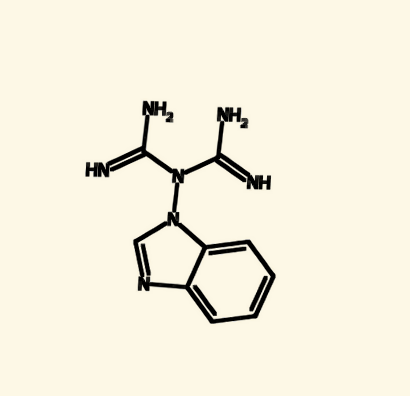 N=C(N)N(C(=N)N)n1cnc2ccccc21